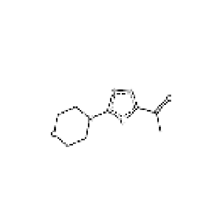 CC(=O)c1cnc(N2CCOCC2)o1